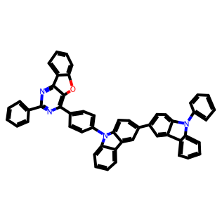 c1ccc(-c2nc(-c3ccc(-n4c5ccccc5c5cc(-c6ccc7c(c6)c6ccccc6n7-c6ccccc6)ccc54)cc3)c3oc4ccccc4c3n2)cc1